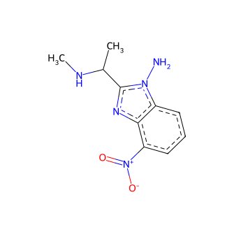 CNC(C)c1nc2c([N+](=O)[O-])cccc2n1N